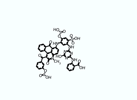 Cn1c(=O)c(C(=O)c2cccc(OS(=O)O)c2)c2c3c(c(Nc4cc(Nc5nc(O)nc(Nc6ccccc6C(=O)O)n5)c(S(=O)(=O)O)cc4OS(=O)O)ccc31)C(=O)c1ccccc1-2